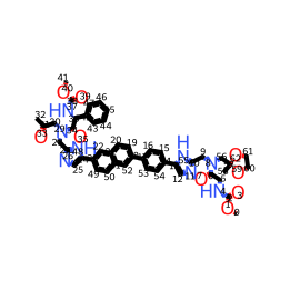 COC(=O)NCC(=O)N(Cc1ncc(-c2ccc(-c3ccc4cc(-c5cnc(CN(CC(C)=O)C(=O)[C@H](NC(=O)OC)c6ccccc6)[nH]5)ccc4c3)cc2)[nH]1)CC1(C)OCCO1